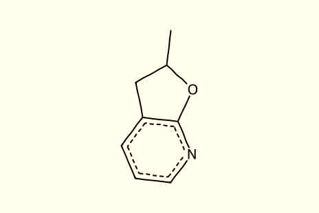 CC1Cc2cccnc2O1